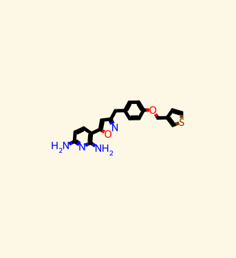 Nc1ccc(-c2cc(Cc3ccc(OCc4ccsc4)cc3)no2)c(N)n1